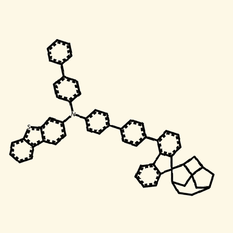 c1ccc(-c2ccc(N(c3ccc(-c4ccc(-c5cccc6c5-c5ccccc5C65C6CCC7CC8CC5C8(C7)C6)cc4)cc3)c3ccc4c(c3)sc3ccccc34)cc2)cc1